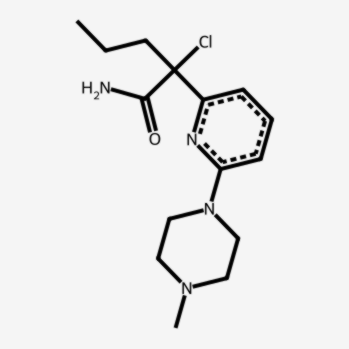 CCCC(Cl)(C(N)=O)c1cccc(N2CCN(C)CC2)n1